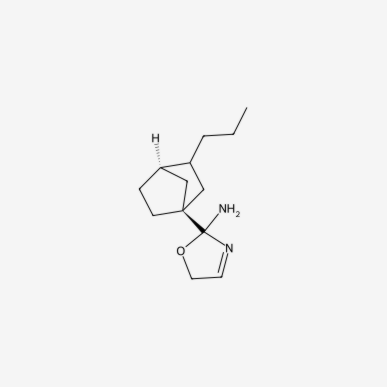 CCCC1C[C@]2(C3(N)N=CCO3)CC[C@@H]1C2